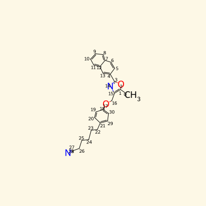 Cc1oc(-c2ccc3ccccc3c2)nc1COc1ccc(CCCCCC#N)cc1